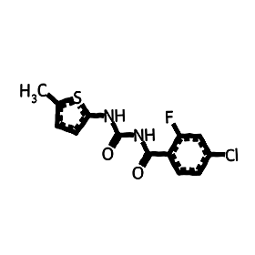 Cc1ccc(NC(=O)NC(=O)c2ccc(Cl)cc2F)s1